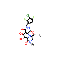 CC1=C2CN(C(C)C)C(=O)c3c(O)c(=O)c(C(=O)NCc4ccc(F)c(Cl)c4F)c(n32)CO1